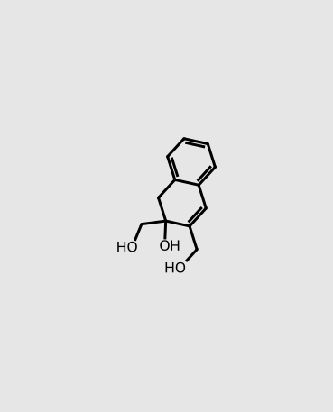 OCC1=Cc2ccccc2CC1(O)CO